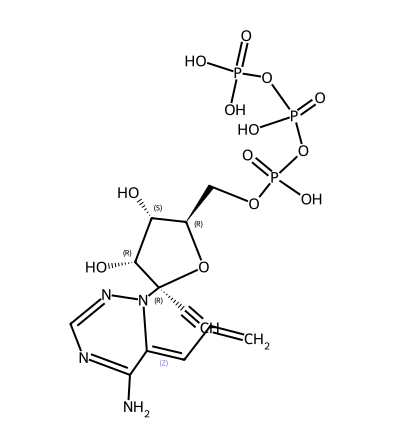 C#C[C@@]1(N2N=CN=C(N)/C2=C/C=C)O[C@H](COP(=O)(O)OP(=O)(O)OP(=O)(O)O)[C@@H](O)[C@H]1O